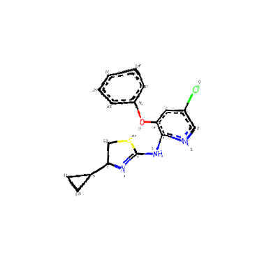 Clc1cnc(NC2=NC(C3CC3)CS2)c(Oc2ccccc2)c1